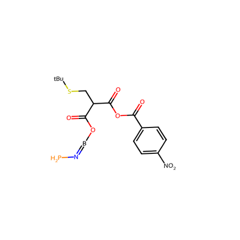 CC(C)(C)SCC(C(=O)OB=NP)C(=O)OC(=O)c1ccc([N+](=O)[O-])cc1